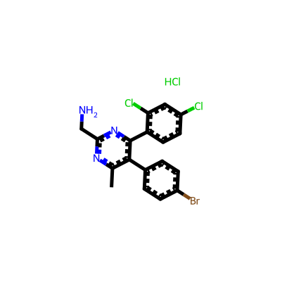 Cc1nc(CN)nc(-c2ccc(Cl)cc2Cl)c1-c1ccc(Br)cc1.Cl